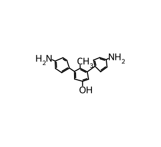 Cc1c(-c2ccc(N)cc2)cc(O)cc1-c1ccc(N)cc1